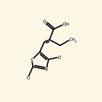 CCC(=Cc1sc(Cl)nc1Cl)C(=O)O